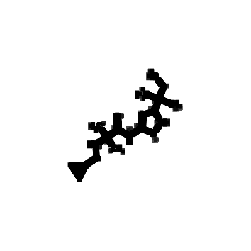 CC(C)(NCC1CC1)C(=O)NC1=CC(C(C)(C)CO)NO1